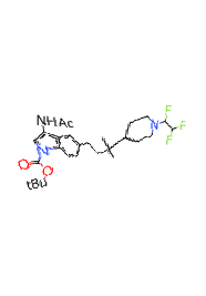 CC(=O)Nc1cn(C(=O)OC(C)(C)C)c2ccc(CCC(C)(C)C3CCN(C(F)C(F)F)CC3)cc12